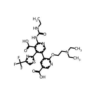 CCNC(=O)Nc1ncc(-c2cc(C(=O)O)cnc2OCCN(CC)CC)c(-c2nc(C(F)(F)F)cs2)c1C(=O)O